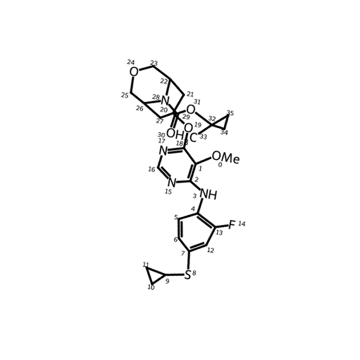 COc1c(Nc2ccc(SC3CC3)cc2F)ncnc1OC1CC2COCC(C1)N2C(=O)OC1(C)CC1